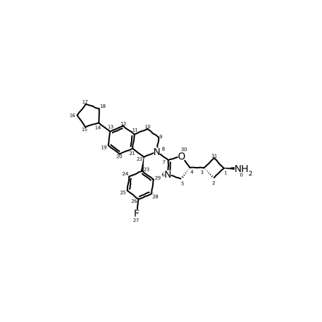 N[C@H]1C[C@H]([C@@H]2CN=C(N3CCc4cc(C5CCCC5)ccc4[C@@H]3c3ccc(F)cc3)O2)C1